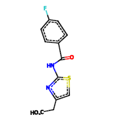 O=C(O)Cc1csc(NC(=O)c2ccc(F)cc2)n1